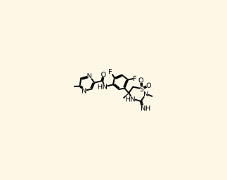 Cc1cnc(C(=O)Nc2cc([C@]3(C)CS(=O)(=O)N(C)C(=N)N3)c(F)cc2F)cn1